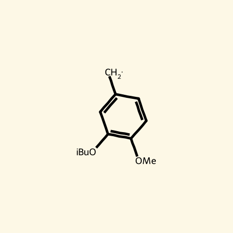 [CH2]c1ccc(OC)c(OCC(C)C)c1